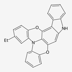 CCc1ccc2c(c1)N1c3ccccc3Oc3cc4[nH]c5ccccc5c4c(c31)O2